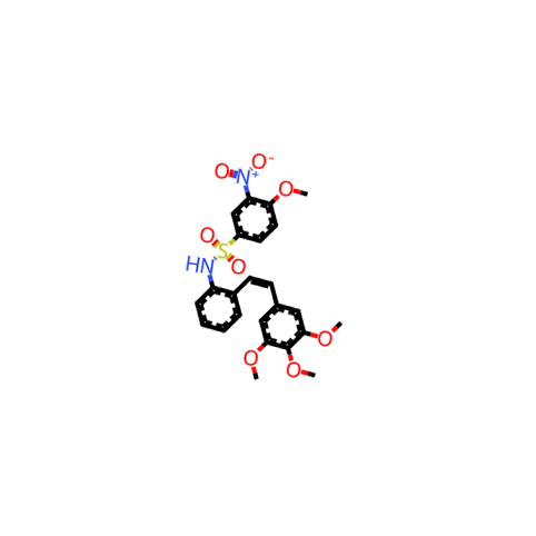 COc1ccc(S(=O)(=O)Nc2ccccc2C=Cc2cc(OC)c(OC)c(OC)c2)cc1[N+](=O)[O-]